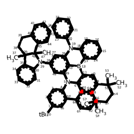 CC(C)(C)c1ccc(N2c3cc4c(cc3B3c5ccccc5N(c5ccccc5)c5cc(N6c7ccccc7C7(C)CCc8ccccc8C67C)cc2c53)C(C)(C)CCC4(C)C)c(-c2ccccc2)c1